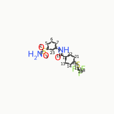 NS(=O)(=O)c1cccc(NC(=O)c2ccc(SC(F)(F)F)cc2)c1